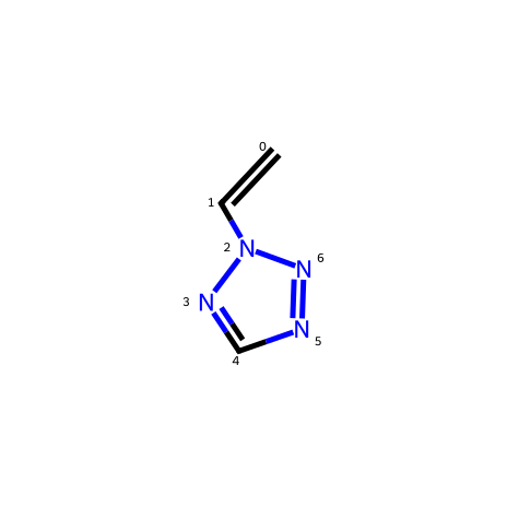 C=Cn1ncnn1